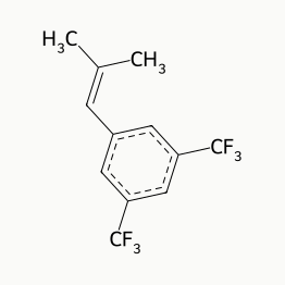 CC(C)=Cc1cc(C(F)(F)F)cc(C(F)(F)F)c1